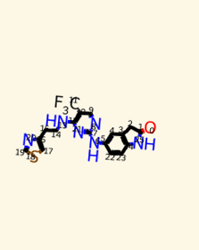 O=C1Cc2cc(Nc3ncc(C(F)(F)F)c(NCCc4cscn4)n3)ccc2N1